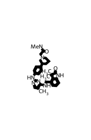 CNC(=O)CN1CCCC(c2ccc(Nc3ncc(C)c(NCc4cccc5c4C(C)(C)C(=O)N5)n3)cc2)C1